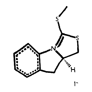 CSC1=[N+]2c3ccccc3C[C@@H]2CS1.[I-]